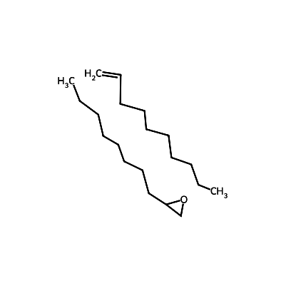 C=CCCCCCCCC.CCCCCCCCC1CO1